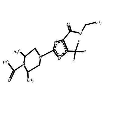 CCOC(=O)c1nc(N2CC(C)N(C(=O)O)C(C)C2)oc1C(F)(F)F